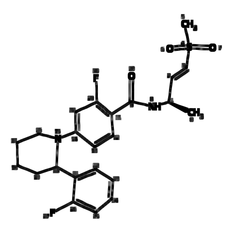 C[C@H](/C=C/S(C)(=O)=O)NC(=O)c1ccc(N2CCCCC2c2ccccc2F)cc1F